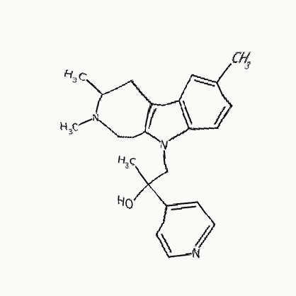 Cc1ccc2c(c1)c1c(n2CC(C)(O)c2ccncc2)CN(C)C(C)C1